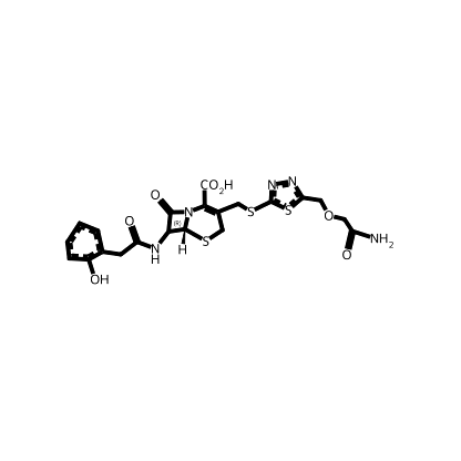 NC(=O)COCc1nnc(SCC2=C(C(=O)O)N3C(=O)C(NC(=O)Cc4ccccc4O)[C@H]3SC2)s1